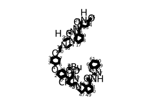 Cc1cc(OC2CCC(OCCN3CCN(c4cccc5c(C6CCC(=O)NC6=O)nn(C)c45)CC3)CC2)ccc1-c1ccc(N2CCc3cccc(C(=O)Nc4nc5ccccc5s4)c3C2)nc1C(=O)OC(C)(C)C